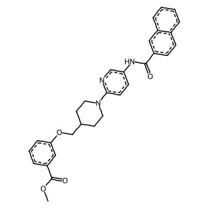 COC(=O)c1cccc(OCC2CCN(c3ccc(NC(=O)c4ccc5ccccc5c4)cn3)CC2)c1